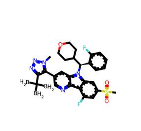 BC(B)(B)c1nnn(C)c1-c1cnc2c3c(F)cc(S(C)(=O)=O)cc3n([C@H](c3ccccc3F)C3CCOCC3)c2c1